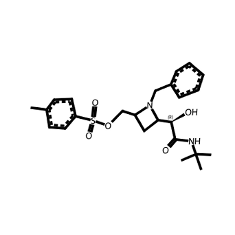 Cc1ccc(S(=O)(=O)OCC2CC([C@@H](O)C(=O)NC(C)(C)C)N2Cc2ccccc2)cc1